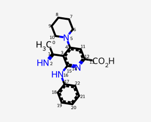 CC(=N)c1c(N2CCCCC2)cc(C(=O)O)nc1Nc1ccccc1